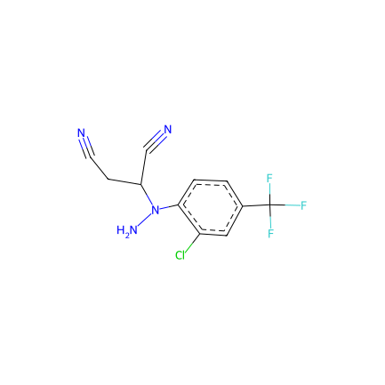 N#CCC(C#N)N(N)c1ccc(C(F)(F)F)cc1Cl